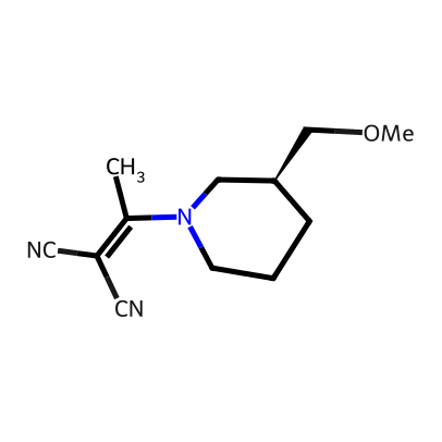 COC[C@H]1CCCN(C(C)=C(C#N)C#N)C1